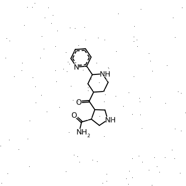 NC(=O)C1CNCC1C(=O)C1CCNC(c2ccccn2)C1